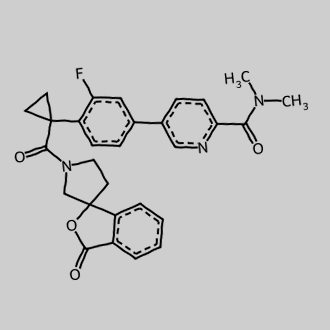 CN(C)C(=O)c1ccc(-c2ccc(C3(C(=O)N4CCC5(C4)OC(=O)c4ccccc45)CC3)c(F)c2)cn1